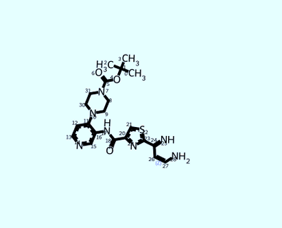 CC(C)(C)OC(=O)N1CCN(c2ccncc2NC(=O)c2csc(C(=N)/C=C\N)n2)CC1